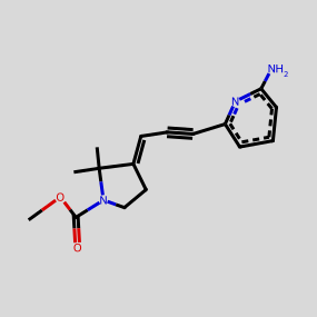 COC(=O)N1CC/C(=C\C#Cc2cccc(N)n2)C1(C)C